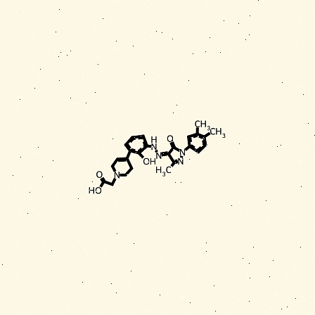 CC1=NN(c2ccc(C)c(C)c2)C(=O)C1=NNc1cccc(C2=CCN(CC(=O)O)CC2)c1O